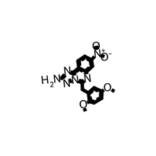 COc1ccc(OC)c(Cc2nc3cc([N+](=O)[O-])ccc3c3nc(N)nn23)c1